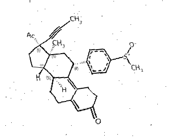 CC#C[C@]1(C(C)=O)CC[C@H]2[C@@H]3CCC4=CC(=O)CCC4=C3[C@@H](c3ccc([S+](C)[O-])cc3)C[C@@]21C